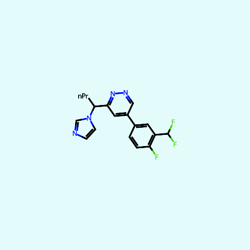 CCCC(c1cc(-c2ccc(F)c(C(F)F)c2)cnn1)n1ccnc1